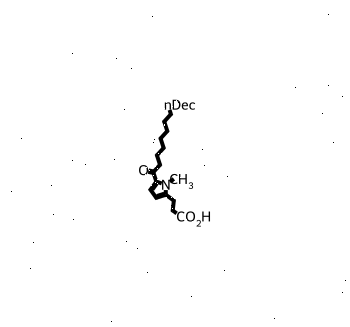 CCCCCCCCCCCCCCCCCC(=O)c1ccc(CCC(=O)O)n1C